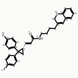 O=C(/C=C/[C@@H]1CC1(c1ccc(F)cc1)c1ccc(F)cc1)NCCCCC1=Cc2ccccc2OC1